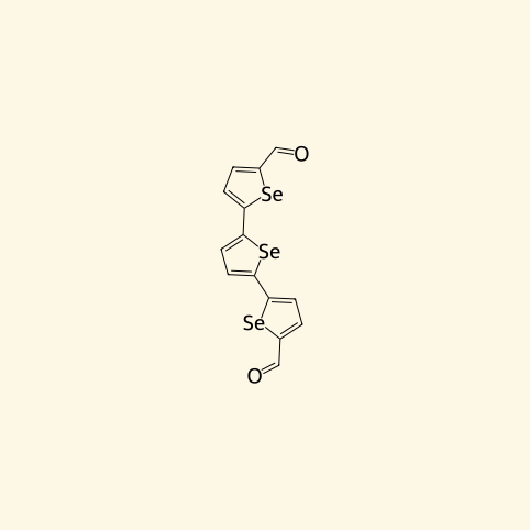 O=Cc1ccc(-c2ccc(-c3ccc(C=O)[se]3)[se]2)[se]1